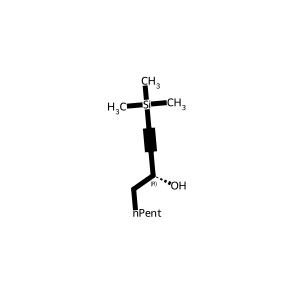 CCCCCC[C@@H](O)C#C[Si](C)(C)C